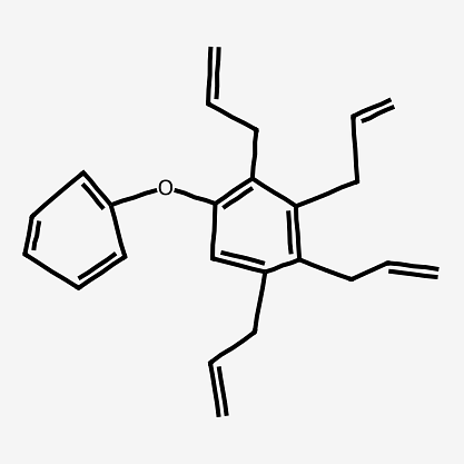 C=CCc1cc(Oc2ccccc2)c(CC=C)c(CC=C)c1CC=C